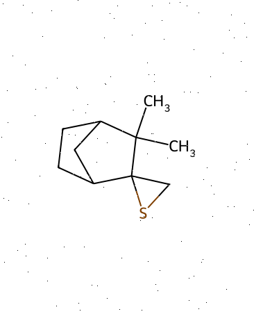 CC1(C)C2CCC(C2)C12CS2